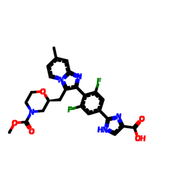 COC(=O)N1CCO[C@@H](Cc2c(-c3c(F)cc(-c4nc(C(=O)O)c[nH]4)cc3F)nc3cc(C)ccn23)C1